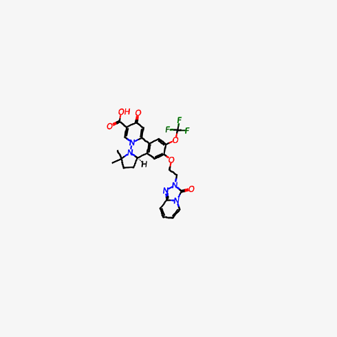 CC1(C)CC[C@@H]2c3cc(OCCn4nc5ccccn5c4=O)c(OC(F)(F)F)cc3-c3cc(=O)c(C(=O)O)cn3N21